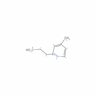 Cc1ccnc(CCC(=O)O)c1